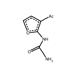 CC(=O)c1ccoc1NC(N)=O